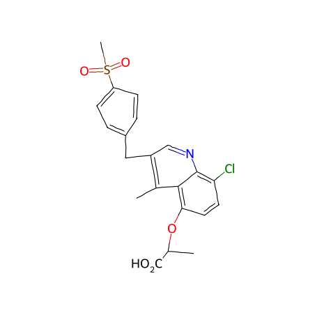 Cc1c(Cc2ccc(S(C)(=O)=O)cc2)cnc2c(Cl)ccc(OC(C)C(=O)O)c12